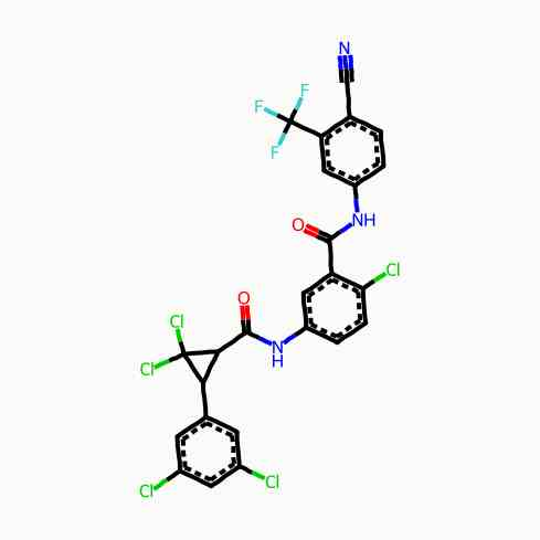 N#Cc1ccc(NC(=O)c2cc(NC(=O)C3C(c4cc(Cl)cc(Cl)c4)C3(Cl)Cl)ccc2Cl)cc1C(F)(F)F